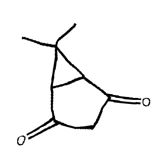 CC1(C)C2C(=O)CC(=O)C21